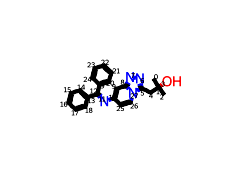 CC(C)(O)Cc1nnc2cc(N=C(c3ccccc3)c3ccccc3)ccn12